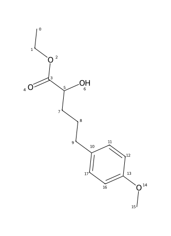 CCOC(=O)C(O)CCCc1ccc(OC)cc1